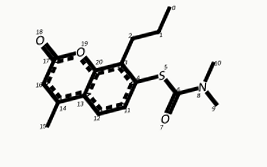 CCCc1c(SC(=O)N(C)C)ccc2c(C)cc(=O)oc12